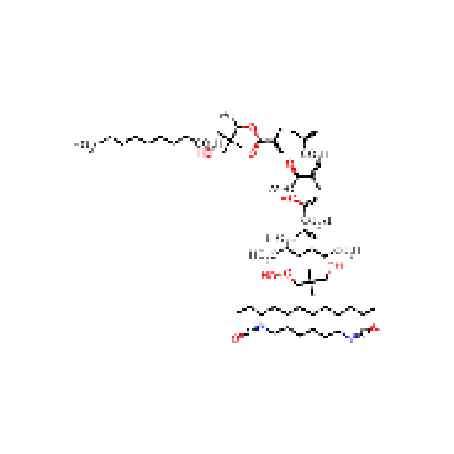 C=C(C)C(=O)O.C=C(C)C(=O)OC.C=C(C)C(=O)OC(CCCC)C(C)(C)CO.C=C(O)C(=O)OCC.C=CC(=O)OCC.CC(C)(CO)COO.CCCCCCCCCCCC.O=C(O)CCCCC(=O)O.O=C(O)CCCCCCCC(=O)O.O=C=NCCCCCCN=C=O